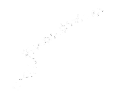 CC(=O)OC(C)C=CC(=O)N[C@@H]1C[C@H](C)[C@H](CC=C(C)C=C[C@H]2O[C@H](CC(=O)NCc3ccc(NC(=O)OCc4ccc(NC(=O)CNC(=O)CCCCCNC(=O)CBr)cc4)cc3)C[C@@]3(CO3)[C@@H]2O)O[C@@H]1C